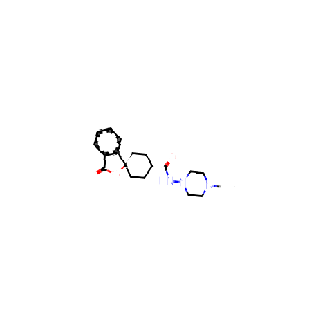 CCCN1CCN(NC(=O)[C@H]2CC[C@@]3(CC2)OC(=O)c2ccccc23)CC1